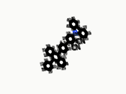 N#Cc1c(-c2ccc(-c3c4ccccc4c(-c4ccccc4)c4ccccc34)cc2)ccc(-n2c3ccccc3c3ccccc32)c1C#N